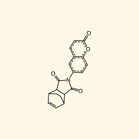 O=C1C2C3C=CC(CC3)C2C(=O)N1c1ccc2oc(=O)ccc2c1